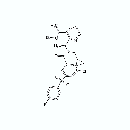 C=C(OCC)c1nccnc1C(C)N(CC1CC1)C(=O)c1cc(Cl)cc(S(=O)(=O)c2ccc(F)cc2)c1